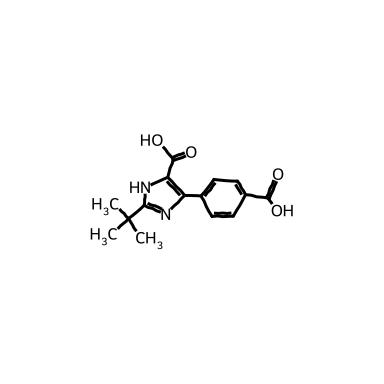 CC(C)(C)c1nc(-c2ccc(C(=O)O)cc2)c(C(=O)O)[nH]1